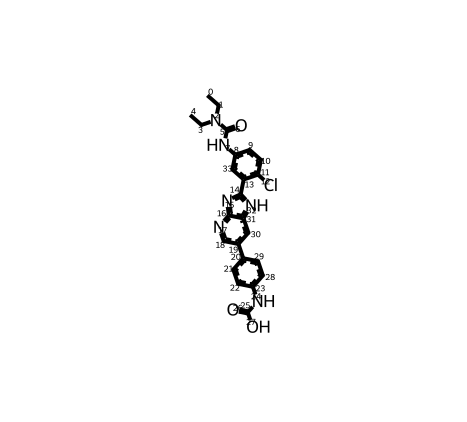 CCN(CC)C(=O)Nc1ccc(Cl)c(-c2nc3ncc(-c4ccc(NC(=O)O)cc4)cc3[nH]2)c1